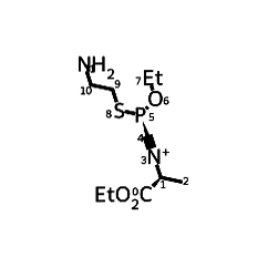 CCOC(=O)[C@H](C)[N+]#C[P@](OCC)SCCN